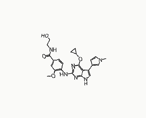 COc1cc(C(=O)NCCO)ccc1Nc1nc(OC2CC2)c2c(-c3ccn(C)c3)c[nH]c2n1